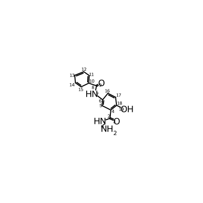 NNC(=O)c1cc(NC(=O)c2ccccc2)ccc1O